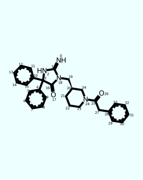 N=C1NC(c2ccccc2)(c2ccccc2)C(=O)N1C[C@@H]1CCCN(C(=O)Cc2ccccc2)C1